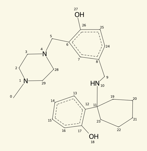 CN1CCN(Cc2cc(CNC3(c4ccccc4O)CCCCC3)ccc2O)CC1